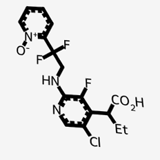 CCC(C(=O)O)c1c(Cl)cnc(NCC(F)(F)c2cccc[n+]2[O-])c1F